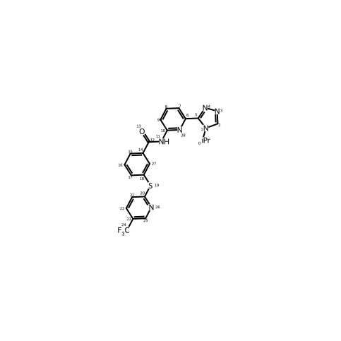 CC(C)n1cnnc1-c1cccc(NC(=O)c2cccc(Sc3ccc(C(F)(F)F)cn3)c2)n1